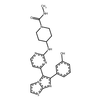 CNC(=O)N1CCC(Nc2nccc(-c3c(-c4cccc(O)c4)nc4sccn34)n2)CC1